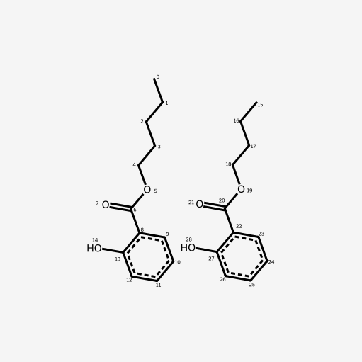 CCCCCOC(=O)c1ccccc1O.CCCCOC(=O)c1ccccc1O